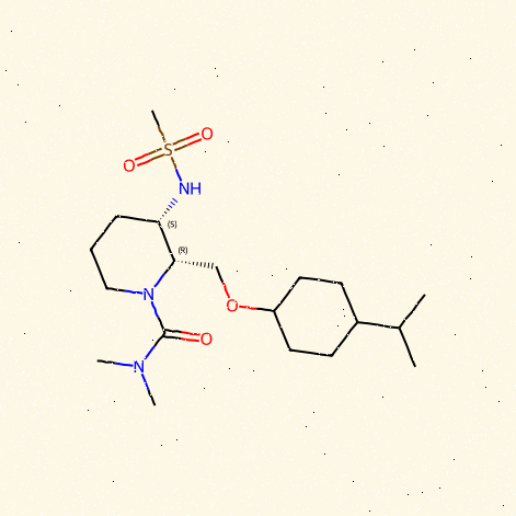 CC(C)C1CCC(OC[C@H]2[C@@H](NS(C)(=O)=O)CCCN2C(=O)N(C)C)CC1